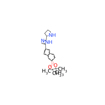 CC1(C)OB(c2ccc3cc(-c4cnc(C5CCCN5)[nH]4)ccc3c2)OC1(C)C